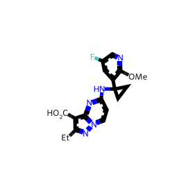 CCc1nn2ccc(NC3(c4cc(F)cnc4OC)CC3)nc2c1C(=O)O